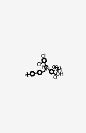 CC(C)(C)c1ccc(-c2ccc(Cc3nc(-c4ccc(Cl)cc4Cl)cn3-c3ccc(C(=O)O)c(NS(C)(=O)=O)c3)cc2)cc1